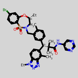 CC[C@@H]1CN(Cc2cc([C@@H](c3ccc4c(nnn4CC)c3C)C(C)(C)C(=O)Nc3cncnc3)ccc2C)S(=O)(=O)c2ccc(Br)cc2O1